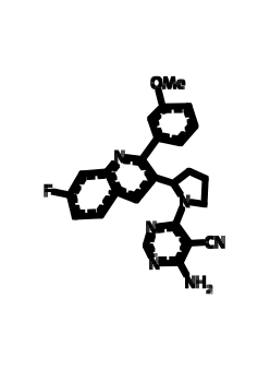 COc1cccc(-c2nc3cc(F)ccc3cc2C2CCCN2c2ncnc(N)c2C#N)c1